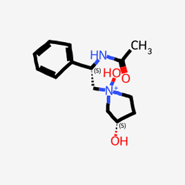 CC(=O)N[C@H](C[N+]1(O)CC[C@H](O)C1)c1ccccc1